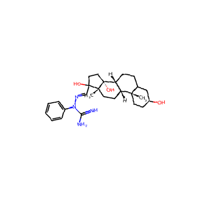 C[C@]12CCC(O)CC1CC[C@@H]1[C@H]2CC[C@]2(C)C(O)(/C=N/N(C(=N)N)c3ccccc3)CC[C@@]12O